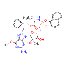 COc1nc(N)nc2c1nc(I)n2C1O[C@H](COP(=O)(N[C@@H](C)C(=O)O[C@@H](C)c2ccccc2)Oc2cccc3ccccc23)[C@@H](O)[C@@]1(C)O